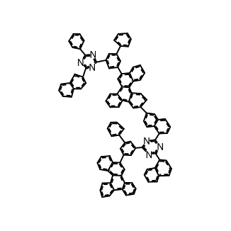 c1ccc(-c2cc(-c3nc(-c4ccccc4)nc(-c4ccc5ccccc5c4)n3)cc(-c3cc4c5ccccc5c5cc(-c6ccc7c(-c8nc(-c9cc(-c%10ccccc%10)cc(-c%10cc%11c%12ccccc%12c%12ccccc%12c%11c%11ccccc%10%11)c9)nc(-c9cccc%10ccccc9%10)n8)cccc7c6)ccc5c4c4ccccc34)c2)cc1